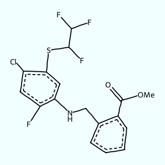 COC(=O)c1ccccc1CNc1cc(SC(F)C(F)F)c(Cl)cc1F